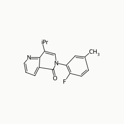 Cc1ccc(F)c(-n2cc(C(C)C)c3ncccc3c2=O)c1